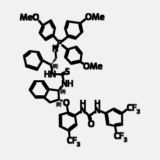 COc1ccc(P(=NC[C@H](NC(=S)N[C@@H]2c3ccccc3C[C@H]2Oc2ccc(C(F)(F)F)cc2NC(=O)Nc2cc(C(F)(F)F)cc(C(F)(F)F)c2)c2ccccc2)(c2ccc(OC)cc2)c2ccc(OC)cc2)cc1